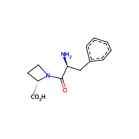 N[C@@H](Cc1ccccc1)C(=O)N1CC[C@H]1C(=O)O